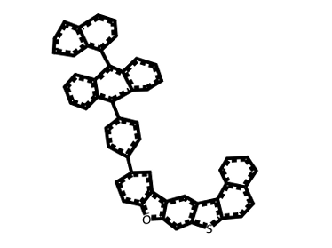 c1ccc2c(-c3c4ccccc4c(-c4ccc(-c5ccc6oc7cc8sc9ccc%10ccccc%10c9c8cc7c6c5)cc4)c4ccccc34)cccc2c1